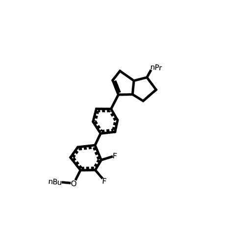 CCCCOc1ccc(-c2ccc(C3=CCC4C(CCC)CCC34)cc2)c(F)c1F